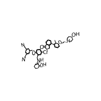 Cc1c(OCCCN2CCC(O)CC2)cccc1-c1cccc2c1CC[C@@H]2Oc1cc(OCc2cc(C#N)cc(C#N)c2)c(CN[C@@H]2CCCC[C@@H]2O)cc1Cl